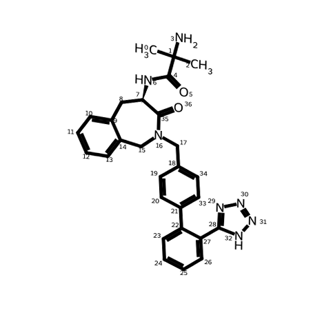 CC(C)(N)C(=O)N[C@@H]1Cc2ccccc2CN(Cc2ccc(-c3ccccc3-c3nnn[nH]3)cc2)C1=O